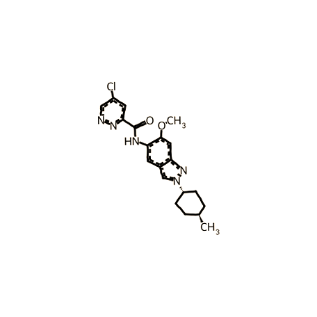 COc1cc2nn([C@H]3CC[C@H](C)CC3)cc2cc1NC(=O)c1cc(Cl)cnn1